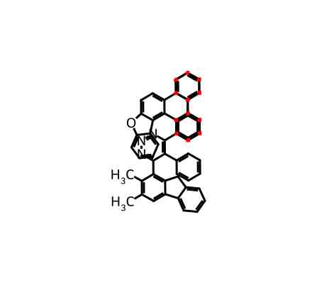 Cc1cc2c(c(-c3nnnc(-c4cccc(-c5ccccc5)c4-c4c(-c5ccccc5-c5ccccc5)ccc5oc6ccccc6c45)c3-c3ccccc3)c1C)Cc1ccccc1-2